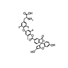 N[C@@H](Cc1cc(I)c(Oc2cc(I)c(OC(=O)c3ccc4c(c3)C(=O)OC43c4ccc(O)cc4Oc4cc(O)ccc43)c(I)c2)c(I)c1)C(=O)O